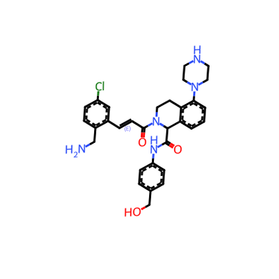 NCc1ccc(Cl)cc1/C=C/C(=O)N1CCc2c(cccc2N2CCNCC2)C1C(=O)Nc1ccc(CO)cc1